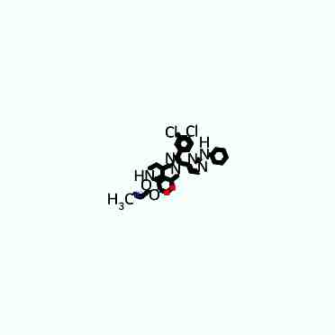 C/C=C/C(=O)OC12CCC(Cn3c(C4CCNCC4)nc(-c4ccc(Cl)c(Cl)c4)c3-c3ccnc(NC4CCCCC4)n3)(CC1)CC2